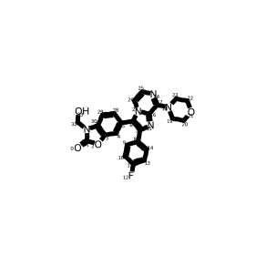 O=c1oc2cc(-c3c(-c4ccc(F)cc4)nc4c(N5CCOCC5)nccn34)ccc2n1CO